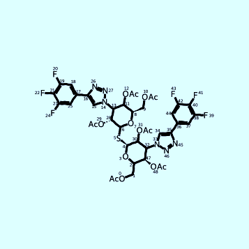 CC(=O)OCC1O[C@@H](SC2O[C@H](COC(C)=O)C(OC(C)=O)C(n3cc(-c4cc(F)c(F)c(F)c4)nn3)[C@H]2OC(C)=O)C(OC(C)=O)C(n2cc(-c3cc(F)c(F)c(F)c3)nn2)[C@H]1OC(C)=O